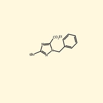 CCOC(=O)c1nc(C(C)(C)C)nn1Cc1ccccc1